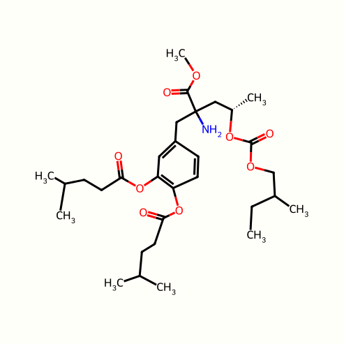 CCC(C)COC(=O)O[C@@H](C)CC(N)(Cc1ccc(OC(=O)CCC(C)C)c(OC(=O)CCC(C)C)c1)C(=O)OC